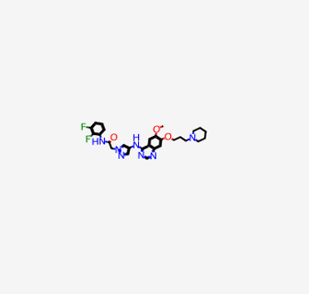 COc1cc2c(Nc3cnn(CC(=O)Nc4cccc(F)c4F)c3)ncnc2cc1OCCCN1CCCCC1